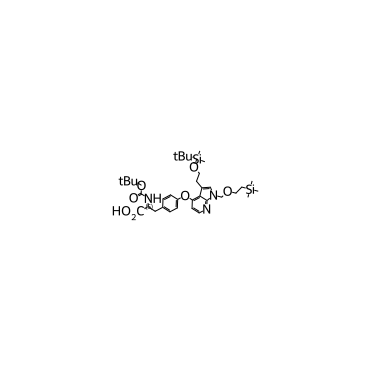 CC(C)(C)OC(=O)N[C@@H](Cc1ccc(Oc2ccnc3c2c(CCO[Si](C)(C)C(C)(C)C)cn3COCC[Si](C)(C)C)cc1)C(=O)O